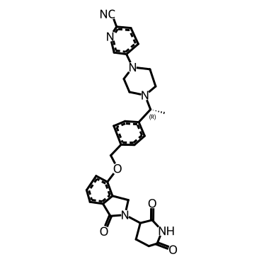 C[C@H](c1ccc(COc2cccc3c2CN(C2CCC(=O)NC2=O)C3=O)cc1)N1CCN(c2ccc(C#N)nc2)CC1